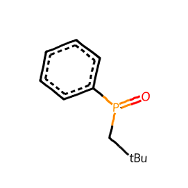 CC(C)(C)C[P](=O)c1ccccc1